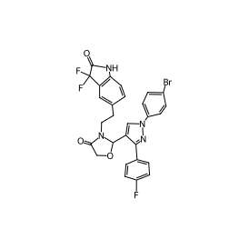 O=C1COC(c2cn(-c3ccc(Br)cc3)nc2-c2ccc(F)cc2)N1CCc1ccc2c(c1)C(F)(F)C(=O)N2